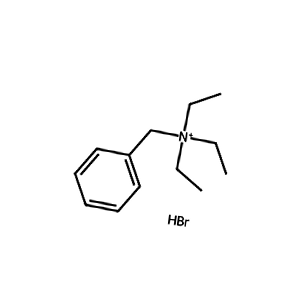 Br.CC[N+](CC)(CC)Cc1ccccc1